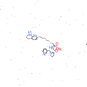 O=C(O)[C@H](CCCCCCCc1ccc2c(n1)NCCC2)NC(=O)[C@@H]1CCCN1Cc1cccnc1